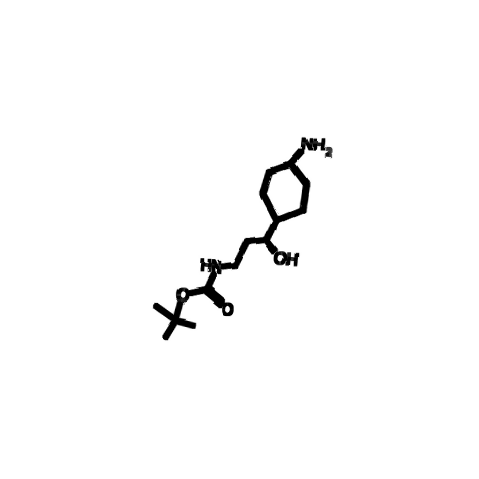 CC(C)(C)OC(=O)NCCC(O)C1CCC(N)CC1